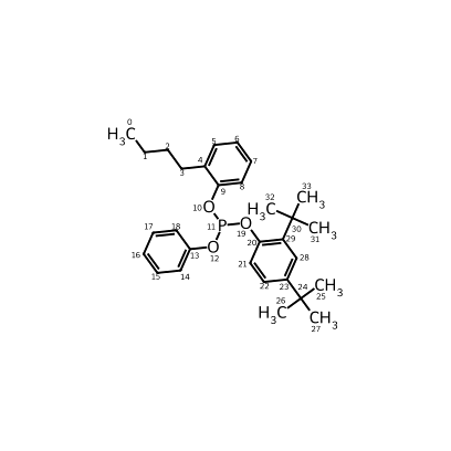 CCCCc1ccccc1OP(Oc1ccccc1)Oc1ccc(C(C)(C)C)cc1C(C)(C)C